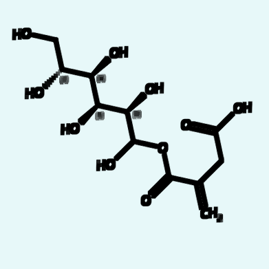 C=C(CC(=O)O)C(=O)OC(O)[C@H](O)[C@@H](O)[C@H](O)[C@H](O)CO